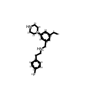 CCc1cc(CNCCc2ccc(F)cc2)cc(N2CCNCC2)c1